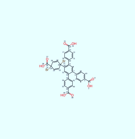 O=C(O)c1ccc(-c2cc(-c3ccc(C(=O)O)cc3)c(C3(Br)C=CC(Br)(C(=O)O)C=C3)cc2-c2ccc(C(=O)O)cc2)cc1